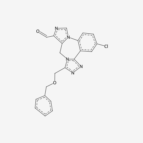 O=Cc1ncn2c1Cn1c(COCc3ccccc3)nnc1-c1cc(Cl)ccc1-2